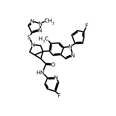 Cc1cc2c(cnn2-c2ccc(F)cc2)cc1C12CN(Sc3cnn(C)n3)CC1C2C(=O)Nc1ccc(F)cn1